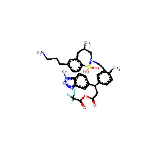 Cc1ccc(C(CC(=O)OC(=O)C(F)(F)F)c2ccc3c(c2)nnn3C)cc1CN1CC(C)Cc2cc(CCCN)ccc2S1(O)O